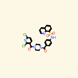 O=C(c1ccc(NS(=O)(=O)c2cccc3cccnc23)cc1)N1CCN(C(=O)c2ccc(Cl)nc2Cl)CC1